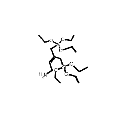 CCO[Si](CC(=CCN)C[Si](OCC)(OCC)OCC)(OCC)OCC